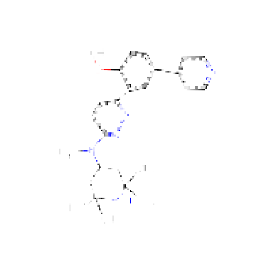 COc1ccc(-c2ccncc2)cc1-c1ccc(N(C)C2CC(C)(C)NC(C)(C)C2)nn1